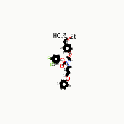 CCOC(Cc1ccc(OCCN(CCCCOc2ccccc2)C(=O)Oc2ccc(F)c(F)c2)cc1)C(=O)O